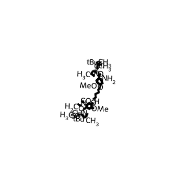 C=CCN(C(=O)O)c1cc(OCCCCCOc2cc(N)c(C(=O)N3C=C(C)C[C@H]3CO[Si](C)(C)C(C)(C)C)cc2OC)c(OC)cc1C(=O)N1C=C(C)C[C@H]1CO[Si](C)(C)C(C)(C)C